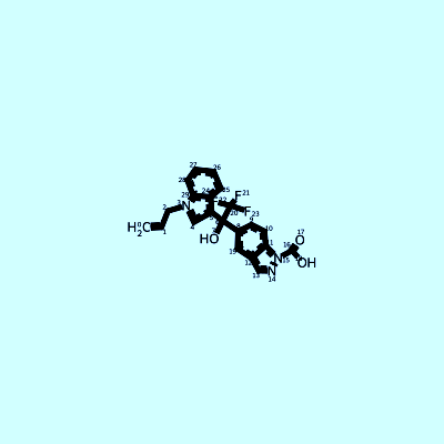 C=CCn1cc(C(O)(c2ccc3c(cnn3C(=O)O)c2)C(F)(F)F)c2ccccc21